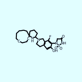 O=C1CN(c2c(O)cc3c(c2F)CN(C2CCCC4(CCCCCCCCC4)N2)CC3)S(=O)(=O)N1